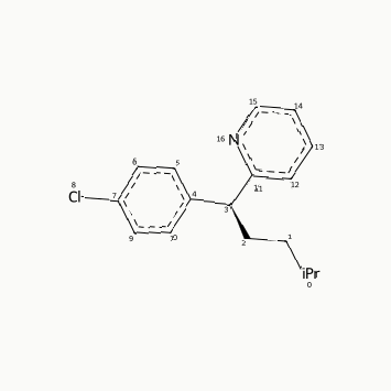 CC(C)CC[C@@H](c1ccc(Cl)cc1)c1ccccn1